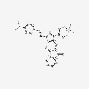 CN(C)c1ccc(/N=N/c2nc(N3CC[N+](C)(C)CC3)c(C=C3C(=O)c4ccccc4C3=O)s2)cc1